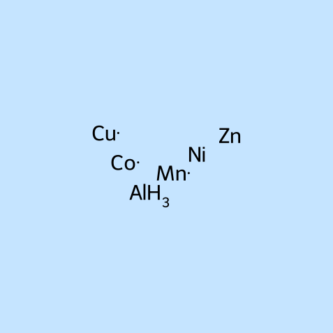 [AlH3].[Co].[Cu].[Mn].[Ni].[Zn]